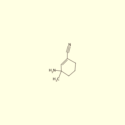 CC1(N)C=C(C#N)CCC1